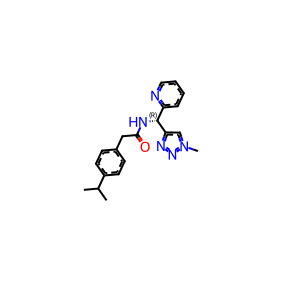 CC(C)c1ccc(CC(=O)N[C@H](c2ccccn2)c2cn(C)nn2)cc1